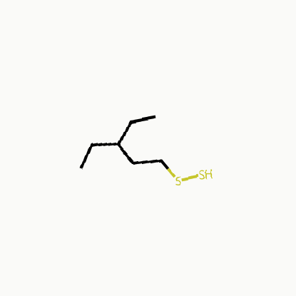 CCC(CC)CCSS